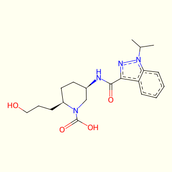 CC(C)n1nc(C(=O)N[C@@H]2CC[C@H](CCCO)N(C(=O)O)C2)c2ccccc21